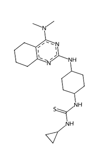 CN(C)c1nc(NC2CCC(NC(=S)NC3CC3)CC2)nc2c1CCCC2